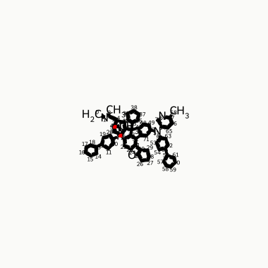 C=N/C(C)=C\C=C(/C)N(c1ccc(-c2ccccc2)cc1)c1cc2oc3ccccc3c2c2c1C(c1ccccc1)(c1ccccc1)c1ccc(N(c3ccc(-c4ccccc4)cc3)c3ccc(C)nc3)cc1-2